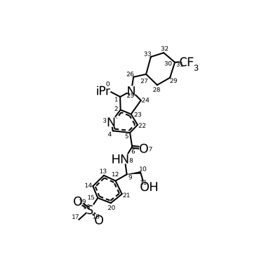 CC(C)C1c2ncc(C(=O)N[C@@H](CO)c3ccc(S(C)(=O)=O)cc3)cc2CN1CC1CCC(C(F)(F)F)CC1